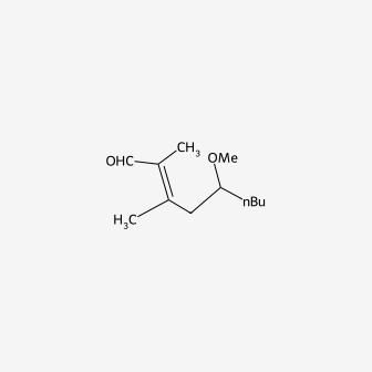 CCCCC(CC(C)=C(C)C=O)OC